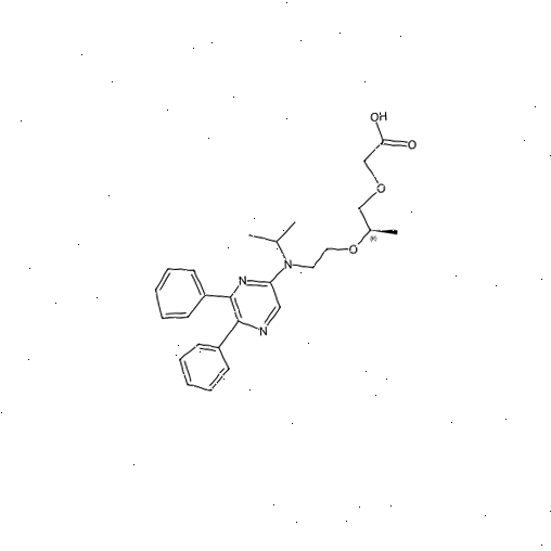 CC(C)N(CCO[C@H](C)COCC(=O)O)c1cnc(-c2ccccc2)c(-c2ccccc2)n1